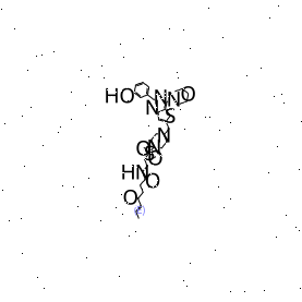 C/C=C/C(=O)CCC(=O)NCCS(=O)(=O)N1CCN(Cc2cc3nc(-c4cccc(O)c4)nc(N4CCOCC4)c3s2)CC1